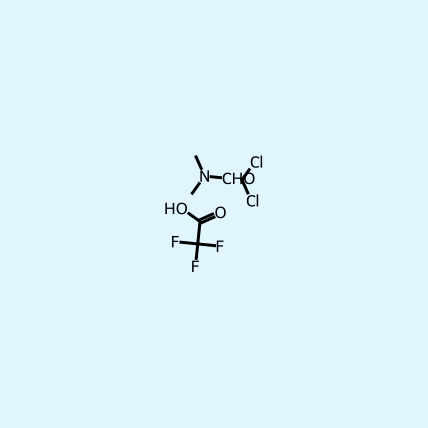 CN(C)C=O.ClCCl.O=C(O)C(F)(F)F